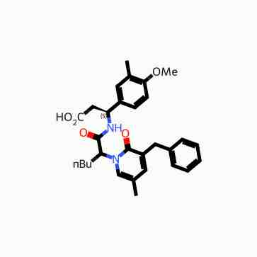 CCCCC(C(=O)N[C@@H](CC(=O)O)c1ccc(OC)c(C)c1)n1cc(C)cc(Cc2ccccc2)c1=O